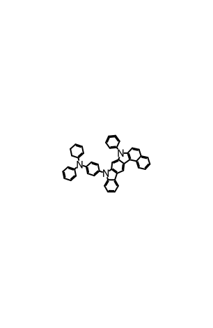 C1=C=CC(n2c3cc4c(cc3c3c5ccccc5ccc32)c2ccccc2n4-c2ccc(N(C3=CC=CCC3)c3ccccc3)cc2)=CC=1